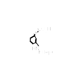 CCCCCCCNCc1cccc(OCC(=O)O)c1